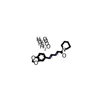 O.O.O.O.O=C(/C=C/C=C/c1ccc2c(c1)OCO2)N1CCCCC1